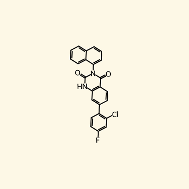 O=c1[nH]c2cc(-c3ccc(F)cc3Cl)ccc2c(=O)n1-c1cccc2ccccc12